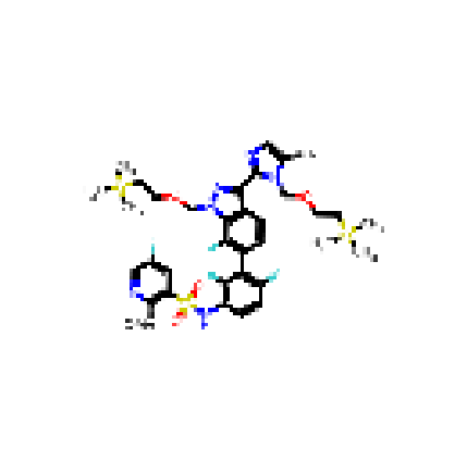 COc1ncc(F)cc1S(=O)(=O)Nc1ccc(F)c(-c2ccc3c(-c4ncc(C#N)n4COCCS(C)(C)C)nn(COCCS(C)(C)C)c3c2F)c1F